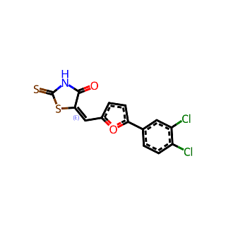 O=C1NC(=S)S/C1=C/c1ccc(-c2ccc(Cl)c(Cl)c2)o1